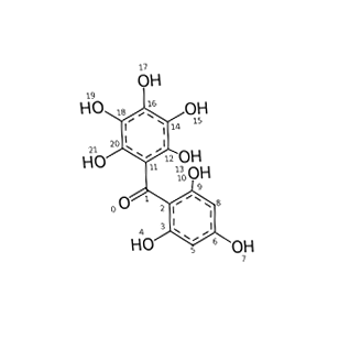 O=C(c1c(O)cc(O)cc1O)c1c(O)c(O)c(O)c(O)c1O